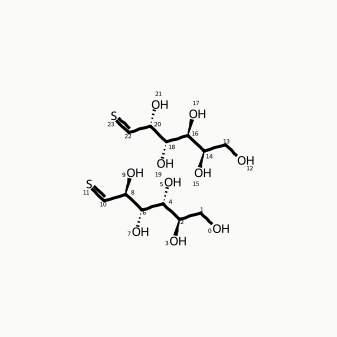 OC[C@@H](O)[C@@H](O)[C@H](O)[C@H](O)C=S.OC[C@@H](O)[C@H](O)[C@H](O)[C@@H](O)C=S